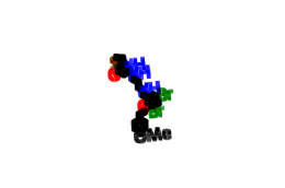 COc1ccc(CCOc2c(Br)cc(Br)cc2CNCCCNc2cc(=O)c3sccc3[nH]2)cc1